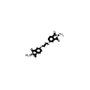 CN1C(=O)c2ccc(SCCSc3ccc4c(c3)C(=O)N(C)C4=O)cc2C1=O